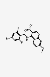 COc1ccc2c(NCc3c(F)cc(Br)cc3F)c([N+](=O)[O-])cnc2n1